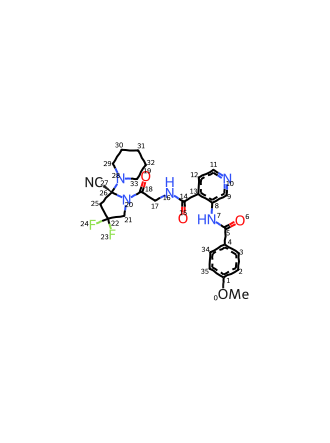 COc1ccc(C(=O)Nc2cnccc2C(=O)NCC(=O)N2CC(F)(F)C[C@]2(C#N)N2CCCCC2)cc1